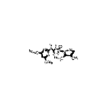 COc1cc(OC)nc(NC(=O)NS(=O)(=O)N2SC=C(C)C2C(=O)O)n1